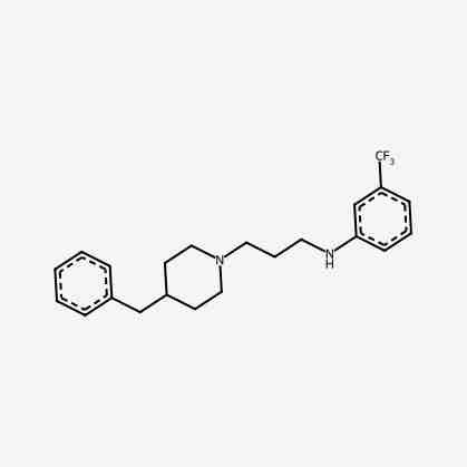 FC(F)(F)c1cccc(NCCCN2CCC(Cc3ccccc3)CC2)c1